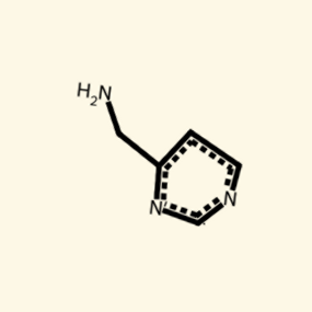 NCc1ccn[c]n1